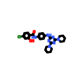 O=C(Nc1ccc(Nc2nc(N3CCCCC3)nc(N3CCCCC3)n2)cc1)c1ccc(Cl)cc1O